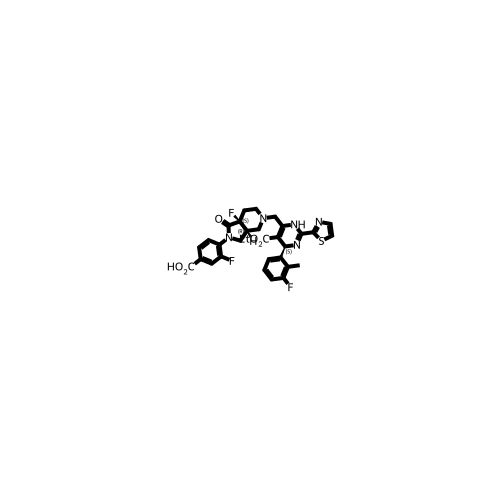 CCOC(=O)C1=C(CN2CC[C@@]3(F)C(=O)N(c4ccc(C(=O)O)cc4F)C[C@H]3C2)NC(c2nccs2)=N[C@H]1c1cccc(F)c1C